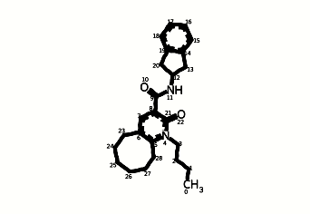 CCCCn1c2c(cc(C(=O)NC3Cc4ccccc4C3)c1=O)CCCCCC2